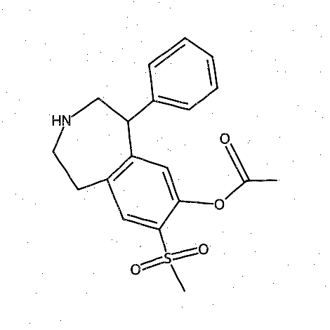 CC(=O)Oc1cc2c(cc1S(C)(=O)=O)CCNCC2c1ccccc1